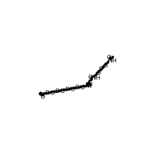 CCC(=O)NCCCOCCOCCOCCCNC(=O)CCc1cn(CCOCCOCCOCCOCCOCCOCCOCCOCCC(=O)C(C)(C)C)nn1